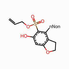 C=CCOS(=O)(=O)c1c(O)cc2c(c1CCCCCCCCC)CCO2